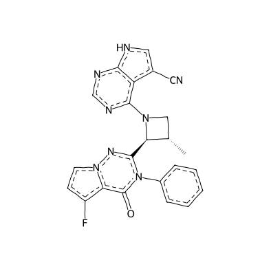 C[C@H]1CN(c2ncnc3[nH]cc(C#N)c23)[C@@H]1c1nn2ccc(F)c2c(=O)n1-c1ccccc1